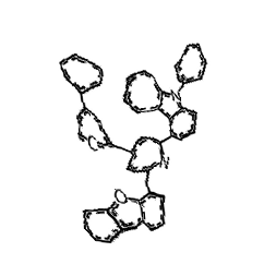 c1ccc(-c2cccc(-c3cc(-c4cccc5c4oc4ccccc45)nc(-c4cccc5c4c4ccccc4n5-c4ccccc4)c3)c2)cc1